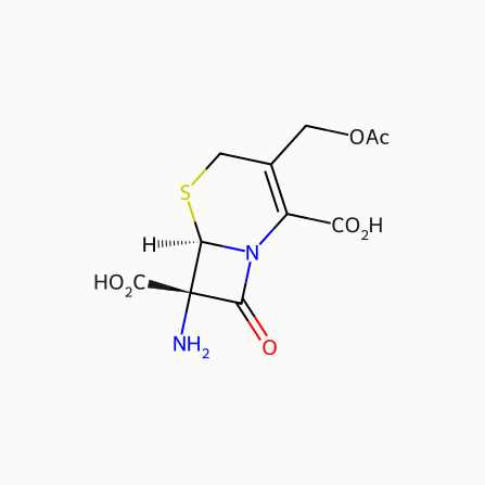 CC(=O)OCC1=C(C(=O)O)N2C(=O)[C@@](N)(C(=O)O)[C@H]2SC1